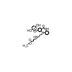 CCOC(=O)/C=C/CNCCCN1c2ccccc2NC(=O)c2ccc(Cl)cc21.O=C(O)/C=C\C(=O)O